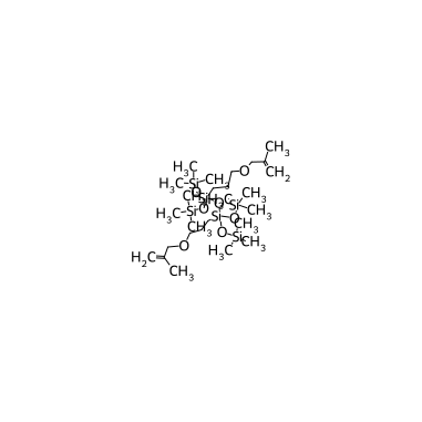 C=C(C)COCCC[Si](O[Si](C)(C)C)(O[Si](C)(C)C)O[Si](CCCOCC(=C)C)(O[Si](C)(C)C)O[Si](C)(C)C